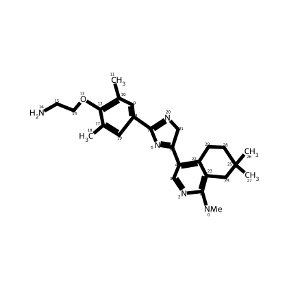 CNc1ncc(C2=NC(c3cc(C)c(OCCN)c(C)c3)=NC2)c2c1CC(C)(C)CC2